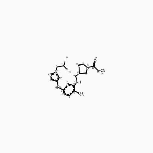 Cc1cnc(Nc2cnn(CC(F)F)c2)nc1NC[C@H]1CCN(C(=O)CC#N)C1